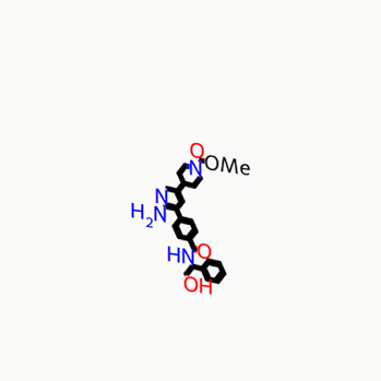 COC(=O)N1CCC(c2cnc(N)c(-c3ccc(C(=O)NC(CO)c4ccccc4)cc3)c2)CC1